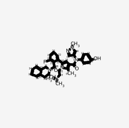 Cc1c(C(=O)N(c2ccc(O)cc2)c2cnn(C)c2)cc(-c2cccc(F)c2C(=O)N2Cc3ccccc3C[C@H]2C)n1CCN(C)C